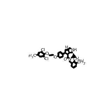 Cc1cc(Cl)c(OCCOc2ccc(C3C[C@H]4CNCC4C3C(=O)N(Cc3cccc(C)c3C)C3CC3)cc2)c(Cl)c1